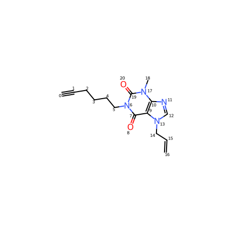 C#CCCCCn1c(=O)c2c(ncn2CC=C)n(C)c1=O